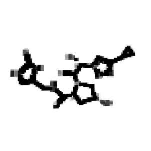 CC(C)(C)[C@@H](C(=O)N1C[C@H](O)C[C@H]1C(=O)NCc1c[nH]c(=O)[nH]1)n1cc(C2CC2)nn1